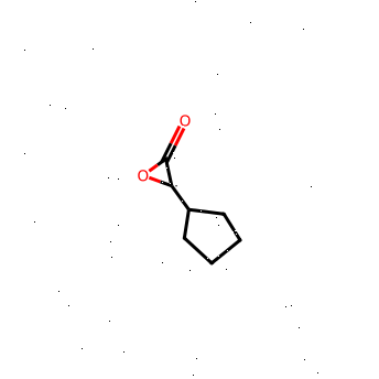 O=C1O[C]1C1CCCC1